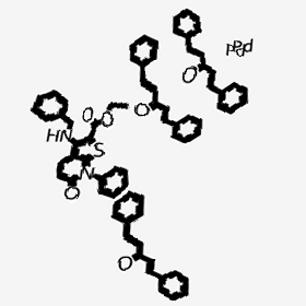 CCOC(=O)c1sc2c(ccc(=O)n2-c2ccccc2)c1NCc1ccccc1.O=C(C=Cc1ccccc1)C=Cc1ccccc1.O=C(C=Cc1ccccc1)C=Cc1ccccc1.O=C(C=Cc1ccccc1)C=Cc1ccccc1.[Pd].[Pd]